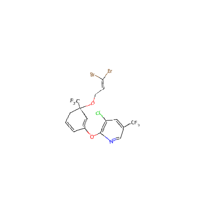 FC(F)(F)c1cnc(OC2=CC(OCC=C(Br)Br)(C(F)(F)F)CC=C2)c(Cl)c1